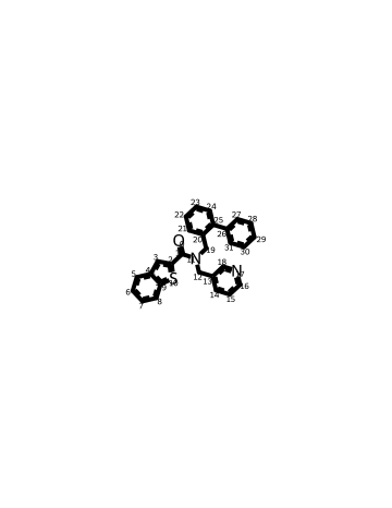 O=C(c1cc2ccccc2s1)N(Cc1cccnc1)Cc1ccccc1-c1ccccc1